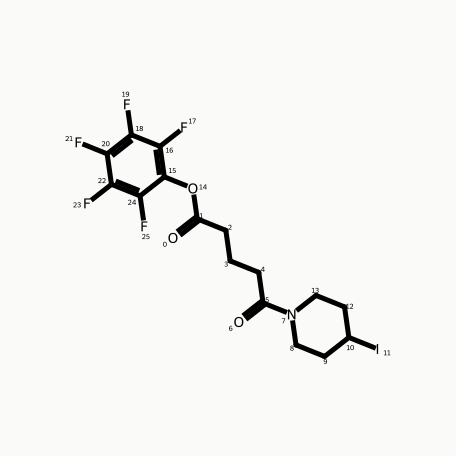 O=C(CCCC(=O)N1CCC(I)CC1)Oc1c(F)c(F)c(F)c(F)c1F